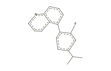 CC(C)c1ccc(-c2cccc3ncccc23)c(F)c1